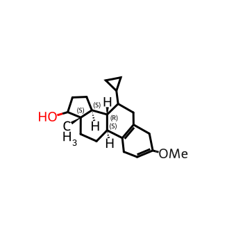 COC1=CCC2=C(C1)CC(C1CC1)[C@@H]1[C@@H]2CC[C@]2(C)C(O)CC[C@@H]12